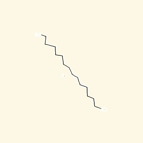 CCCCCCCCCCCCCCCC.[Si]